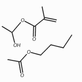 C=C(C)C(=O)OC(C)O.CCCCOC(C)=O